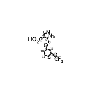 Cn1ncc(C(=O)O)c1COc1cccc(OC(F)(F)F)c1